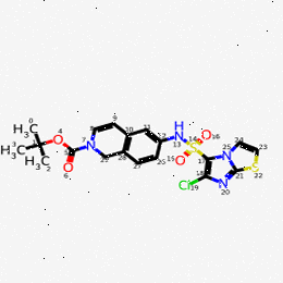 CC(C)(C)OC(=O)N1C=Cc2cc(NS(=O)(=O)c3c(Cl)nc4sccn34)ccc2C1